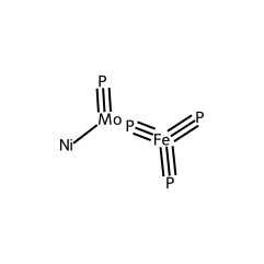 [P]#[Fe](#[P])#[P].[P]#[Mo][Ni]